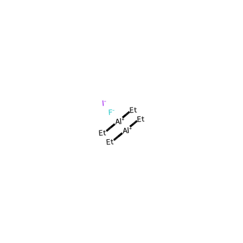 C[CH2][Al+][CH2]C.C[CH2][Al+][CH2]C.[F-].[I-]